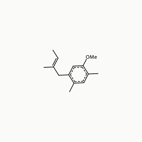 CC=C(C)Cc1cc(OC)c(C)cc1C